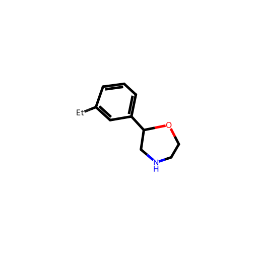 CCc1cccc(C2CNCCO2)c1